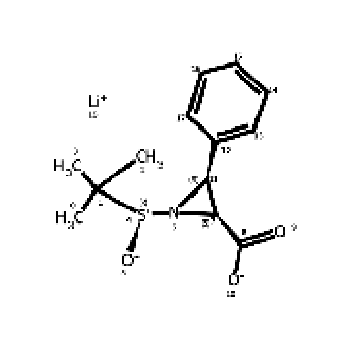 CC(C)(C)[S@+]([O-])N1[C@H](C(=O)[O-])[C@@H]1c1ccccc1.[Li+]